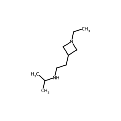 CCN1CC(CCNC(C)C)C1